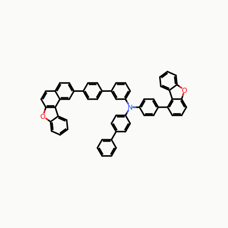 c1ccc(-c2ccc(N(c3ccc(-c4cccc5oc6ccccc6c45)cc3)c3cccc(-c4ccc(-c5ccc6ccc7oc8ccccc8c7c6c5)cc4)c3)cc2)cc1